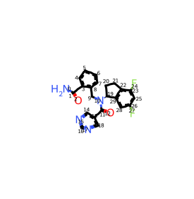 NC(=O)c1ccccc1CN(C(=O)c1cncnc1)[C@@H]1CCc2c(F)cc(F)cc21